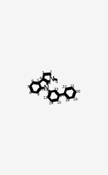 Cn1ccc2c3ccccc3n(-c3cccc(-c4ccccc4)c3)c21